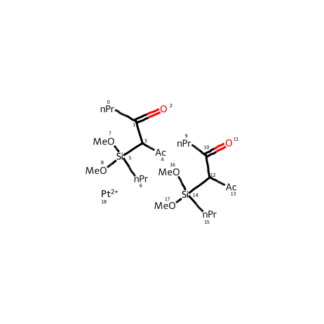 CCCC(=O)C(C(C)=O)[Si](CCC)(OC)OC.CCCC(=O)C(C(C)=O)[Si](CCC)(OC)OC.[Pt+2]